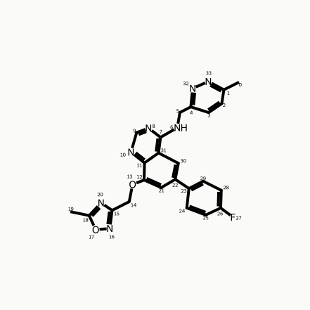 Cc1ccc(CNc2ncnc3c(OCc4noc(C)n4)cc(-c4ccc(F)cc4)cc23)nn1